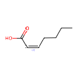 CCCC/C=[C]\C(=O)O